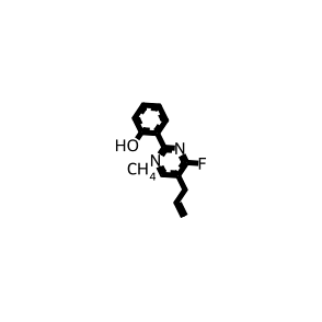 C.C=CCc1cnc(-c2ccccc2O)nc1F